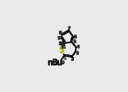 CCCCC1=CCCc2ccccc2S1